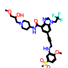 COCC(O)CN1CCC(NC(=O)c2cc(C#CCNc3cc(S(C)(=O)=O)ccc3OC)cc3c2ncn3CC(F)(F)F)CC1